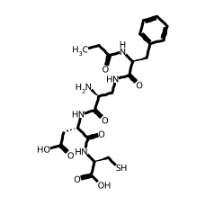 CCC(=O)N[C@@H](Cc1ccccc1)C(=O)NC[C@H](N)C(=O)N[C@@H](CC(=O)O)C(=O)N[C@@H](CS)C(=O)O